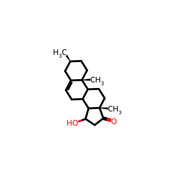 C[C@H]1CC[C@@]2(C)C(=CCC3C2CC[C@]2(C)C(=O)CC(O)C32)C1